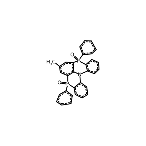 Cc1cc2c3c(c1)P(=O)(c1ccccc1)c1ccccc1N3c1ccccc1P2(=O)c1ccccc1